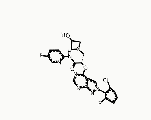 O=C(Nc1ccc(F)cn1)[C@H](CN1CC(O)C1)Oc1ncnc2nn(-c3c(F)cccc3Cl)cc12